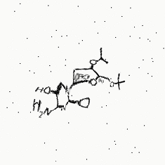 CC(C)OC1C[C@H](n2cc(O)c(N)nc2=O)O[C@@H]1COC(C)(C)C